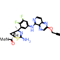 C#CCOc1cnc2c(Nc3cc(F)c(F)c([C@@]4(C)N=C(N)S[C@@]5(C(=O)NC)C[C@H]54)c3)nccc2n1